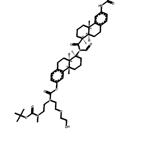 CN(CCN(CCOCCO)C(=O)Oc1ccc2c(c1)[C@@]1(C)CCC[C@](C)(N(C=O)C(=O)[C@@]3(C)CCC[C@]4(C)c5cc(NC(=O)O)ccc5CC[C@@H]34)[C@@H]1CC2)C(=O)OC(C)(C)C